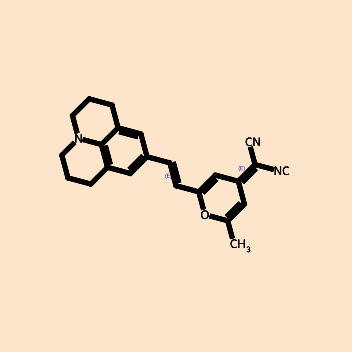 [C-]#[N+]/C(C#N)=C1\C=C(C)OC(/C=C/c2cc3c4c(c2)CCCN4CCC3)=C1